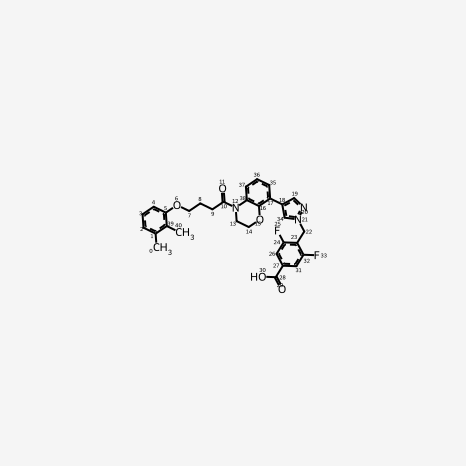 Cc1cccc(OCCCC(=O)N2CCOc3c(-c4cnn(Cc5c(F)cc(C(=O)O)cc5F)c4)cccc32)c1C